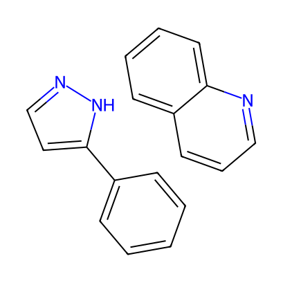 c1ccc(-c2ccn[nH]2)cc1.c1ccc2ncccc2c1